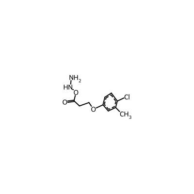 Cc1cc(OCCC(=O)ONN)ccc1Cl